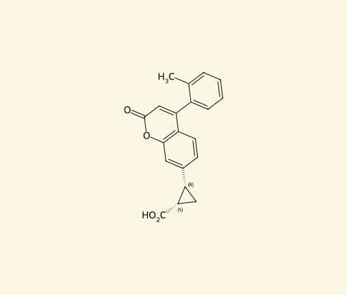 Cc1ccccc1-c1cc(=O)oc2cc([C@@H]3C[C@@H]3C(=O)O)ccc12